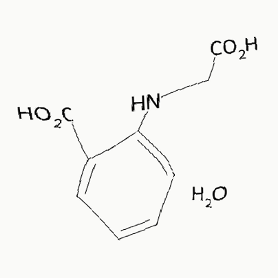 O.O=C(O)CNc1ccccc1C(=O)O